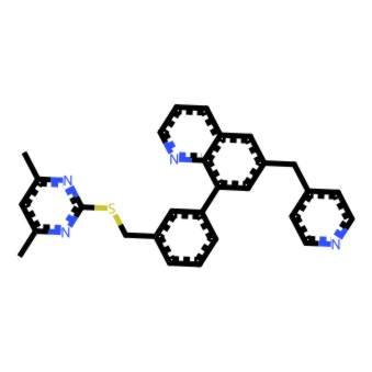 Cc1cc(C)nc(SCc2cccc(-c3cc(Cc4ccncc4)cc4cccnc34)c2)n1